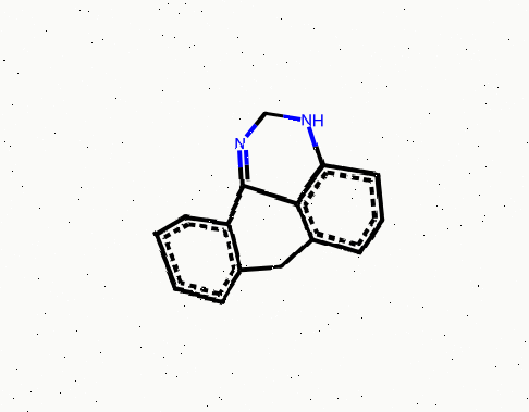 c1ccc2c(c1)Cc1cccc3c1C2=NCN3